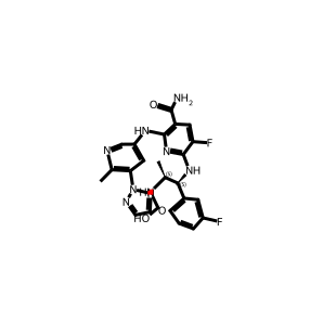 Cc1ncc(Nc2nc(N[C@@H](c3cccc(F)c3)[C@H](C)NC(=O)O)c(F)cc2C(N)=O)cc1-n1nccn1